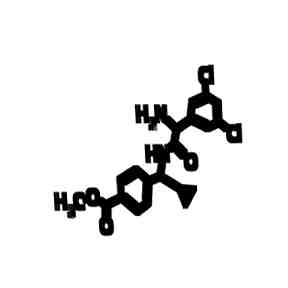 COC(=O)c1ccc(C(NC(=O)C(N)c2cc(Cl)cc(Cl)c2)C2CC2)cc1